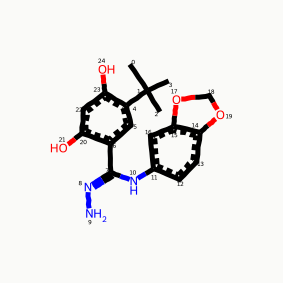 CC(C)(C)c1cc(/C(=N/N)Nc2ccc3c(c2)OCO3)c(O)cc1O